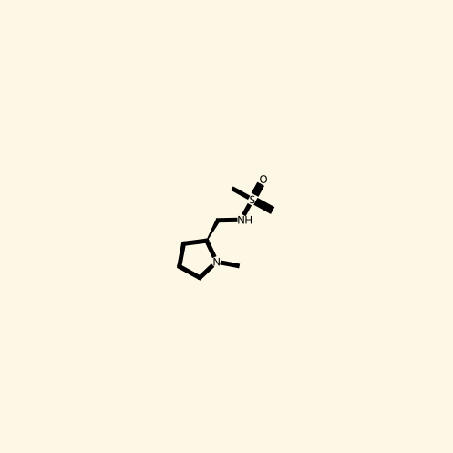 C=S(C)(=O)NC[C@@H]1CCCN1C